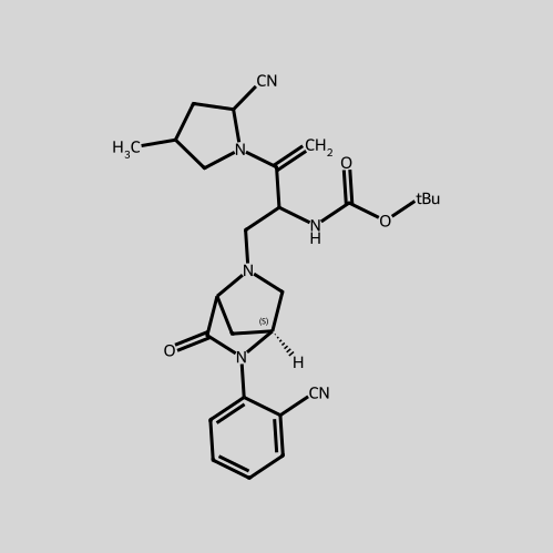 C=C(C(CN1C[C@@H]2CC1C(=O)N2c1ccccc1C#N)NC(=O)OC(C)(C)C)N1CC(C)CC1C#N